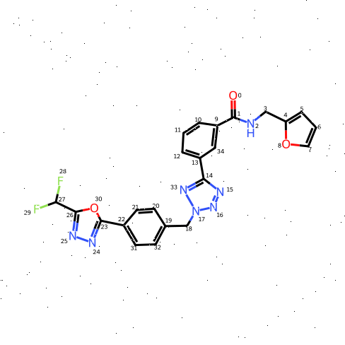 O=C(NCc1ccco1)c1cccc(-c2nnn(Cc3ccc(-c4nnc(C(F)F)o4)cc3)n2)c1